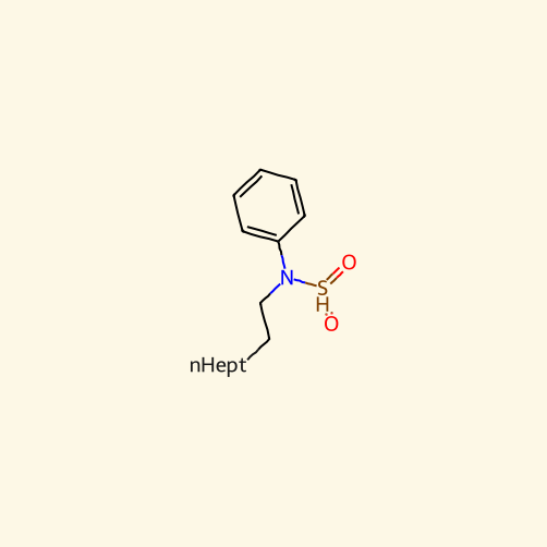 CCCCCCCCCN(c1ccccc1)[SH](=O)=O